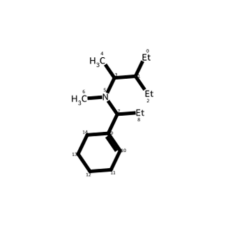 CCC(CC)C(C)N(C)C(CC)C1=CCCCC1